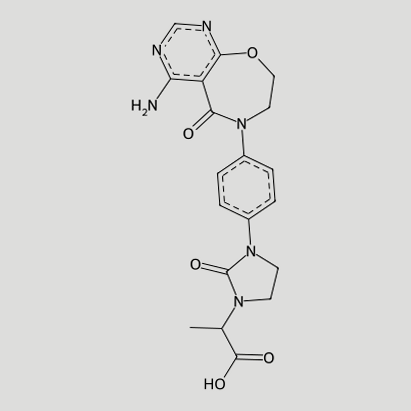 CC(C(=O)O)N1CCN(c2ccc(N3CCOc4ncnc(N)c4C3=O)cc2)C1=O